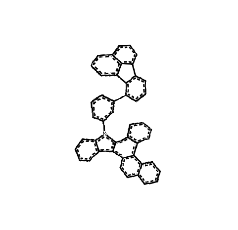 c1cc(-c2cccc3c2-c2cccc4cccc-3c24)cc(-n2c3ccccc3c3c4ccc5ccccc5c4c4ccccc4c32)c1